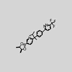 C=C1OB(c2ccc(C(C)(c3ccc(-c4ccc(C(F)(F)F)nn4)cc3)C(C)C)nc2)OC1=C